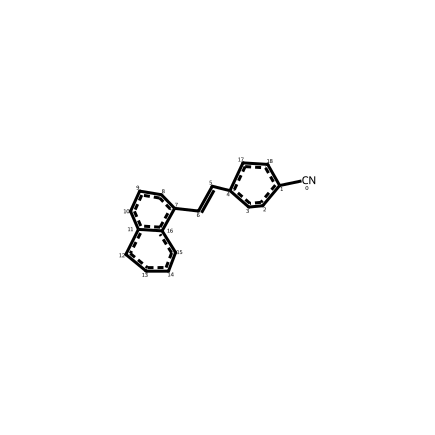 N#Cc1ccc(C=Cc2cccc3ccccc23)cc1